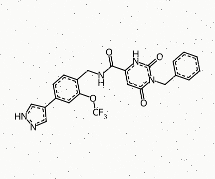 O=C(NCc1ccc(-c2cn[nH]c2)cc1OC(F)(F)F)c1cc(=O)n(Cc2ccccc2)c(=O)[nH]1